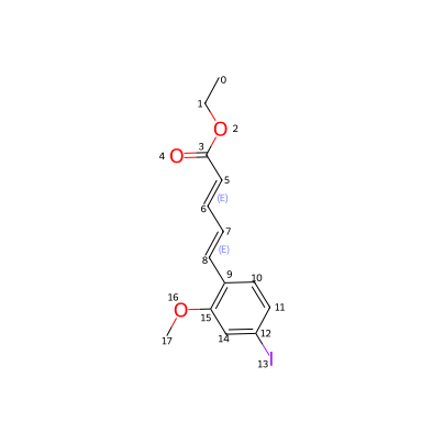 CCOC(=O)/C=C/C=C/c1ccc(I)cc1OC